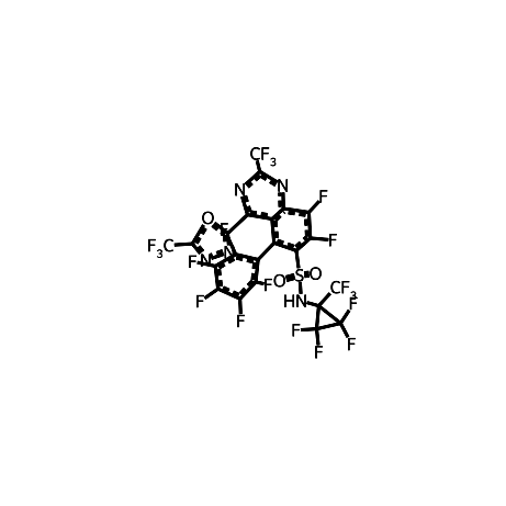 O=S(=O)(NC1(C(F)(F)F)C(F)(F)C1(F)F)c1c(F)c(F)c2nc(C(F)(F)F)nc(-c3nnc(C(F)(F)F)o3)c2c1-c1c(F)c(F)c(F)c(F)c1F